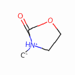 [CH2-][NH+]1CCOC1=O